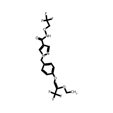 CCO/C(=C\Oc1ccc(Cn2cc(C(=O)NOCC(F)(F)F)cn2)cc1)C(F)(F)F